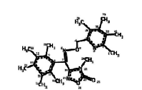 Cc1nc(CON=C(c2c(C)c(C)c(C)c(C)c2C)c2noc(=O)n2C)c(C)c(C)c1C